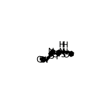 O=C(Cc1ccccc1)NC(=S)Nc1ccc(Oc2ccnc3cc(C#CCN4CC[S+]([O-])CC4)sc23)c(F)c1